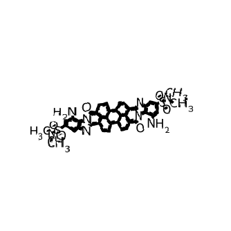 CN(C)S(=O)(=O)c1cc(N)c2c(c1)nc1c3ccc4c5ccc6c(=O)n7c(nc8cc(S(=O)(=O)N(C)C)cc(N)c87)c7ccc(c8ccc(c(=O)n12)c3c84)c5c67